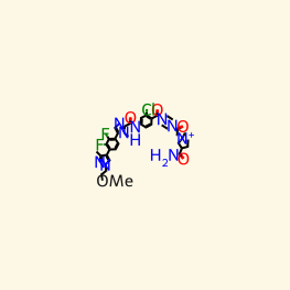 COCCn1cc(-c2ccc(-c3cnc(C(=O)Nc4ccc(C(=O)N5CCN(C(=O)C[N+]6(C)CCC(C(N)=O)C6)CC5)c(Cl)c4)n3C)c(F)c2F)c(C)n1